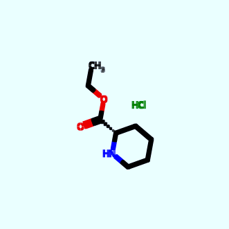 CCOC(=O)[C@@H]1CCCCN1.Cl